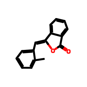 Cc1ccccc1C=C1OC(=O)c2ccccc21